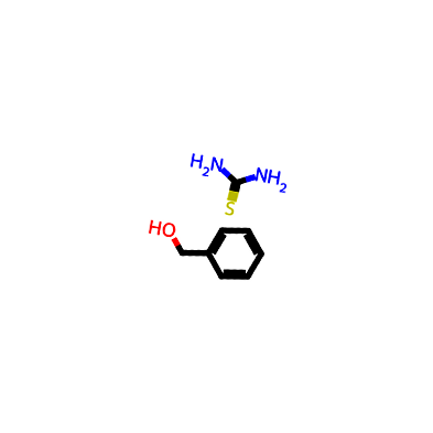 NC(N)=S.OCc1ccccc1